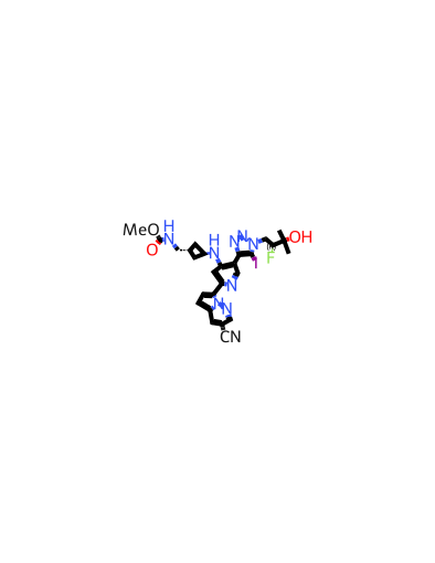 COC(=O)NC[C@H]1C[C@H](Nc2cc(-c3ccc4cc(C#N)cnn34)ncc2-c2nnn(C[C@@H](F)C(C)(C)O)c2I)C1